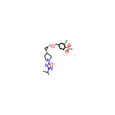 CC(C)c1noc(N2CCC([C@H]3C[C@@H]3COCc3ccc(S(C)(=O)=O)c(F)c3)CC2)n1